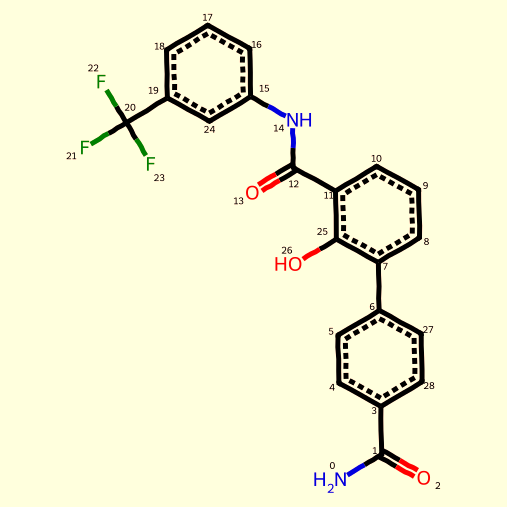 NC(=O)c1ccc(-c2cccc(C(=O)Nc3cccc(C(F)(F)F)c3)c2O)cc1